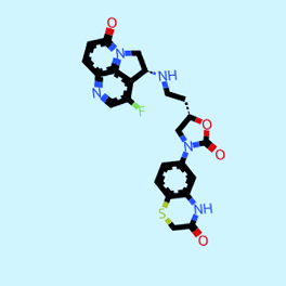 O=C1CSc2ccc(N3C[C@H](CCN[C@H]4Cn5c(=O)ccc6ncc(F)c4c65)OC3=O)cc2N1